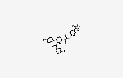 CCS(=O)(=O)c1ccc(CC(=O)Nc2ncc(-c3ccc(F)cc3)c(C(=O)c3cccc(F)c3)n2)cc1